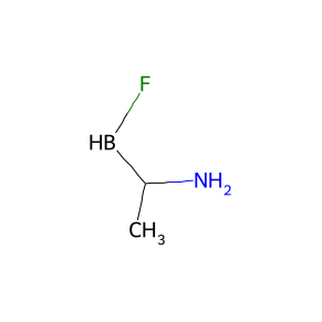 CC(N)BF